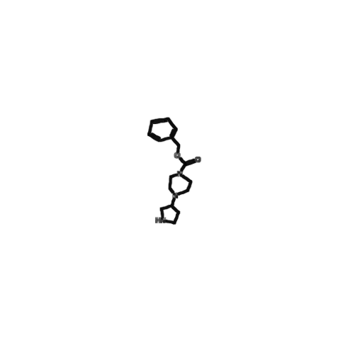 O=C(OCc1ccccc1)N1CCN(C2CCNC2)CC1